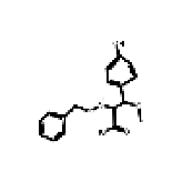 COC(c1ccc(O)cc1)C(NSCc1ccccc1)C(=O)O